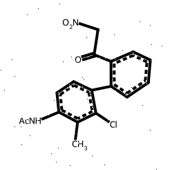 CC(=O)Nc1ccc(-c2ccccc2C(=O)C[N+](=O)[O-])c(Cl)c1C